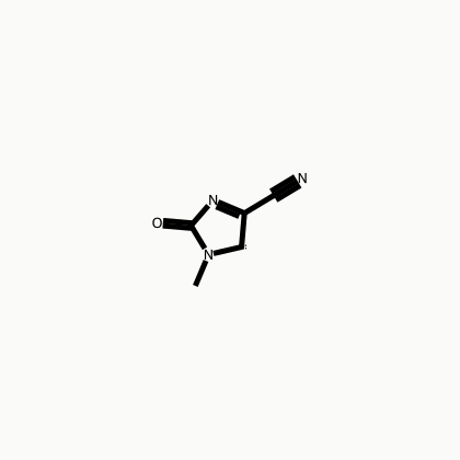 CN1[C]C(C#N)=NC1=O